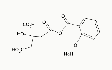 O=C(O)CC(O)(CC(=O)OC(=O)c1ccccc1O)C(=O)O.[NaH]